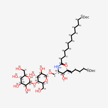 CCCCCCCCCCCCC/C=C/[C@@H](O)[C@H](CO[C@@H]1OC(CO)[C@@H](O[C@@H]2OC(CO)[C@@H](O)[C@H](O)C2O)[C@H](O)C1O)NC(=O)CCCCCCCCCCCCCCCCCCCCC